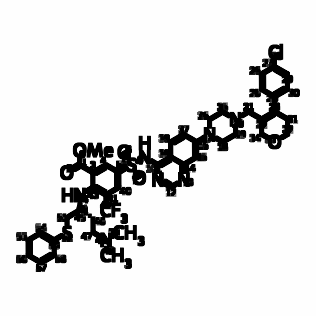 COC(=O)c1cc(S(=O)(=O)Nc2ncnc3cc(N4CCN(CC5=C(c6ccc(Cl)cc6)CCOC5)CC4)ccc23)cc(C(F)(F)F)c1N[C@H](CCN(C)C)CSc1ccccc1